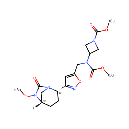 CCCCON1C(=O)N2C[C@@H]1CC[C@H]2c1cc(CN(C(=O)OC(C)(C)C)C2CN(C(=O)OC(C)(C)C)C2)on1